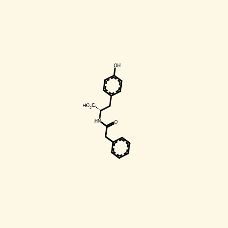 O=C(Cc1ccccc1)N[C@@H](Cc1ccc(O)cc1)C(=O)O